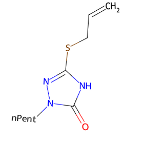 C=CCSc1nn(CCCCC)c(=O)[nH]1